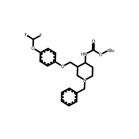 CC(C)(C)OC(=O)NC1CCN(Cc2ccccc2)CC1COc1ccc(OC(F)F)cc1